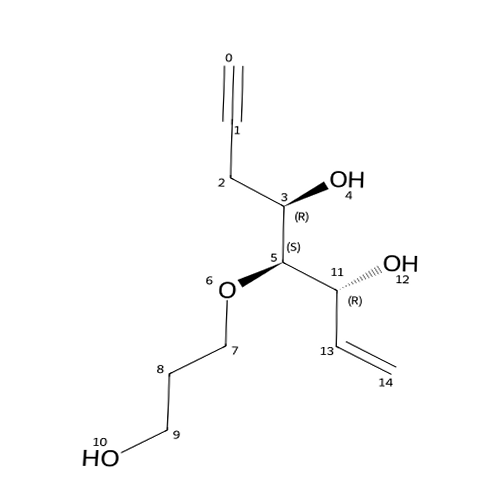 C#CC[C@@H](O)[C@H](OCCCO)[C@H](O)C=C